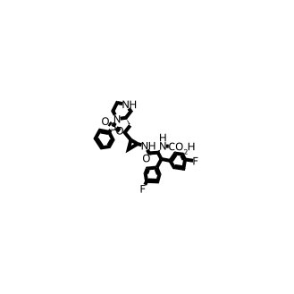 O=C(O)N[C@@H](C(=O)NC1CC1CC[C@H]1CNCCN1S(=O)(=O)c1ccccc1)C(c1ccc(F)cc1)c1ccc(F)cc1